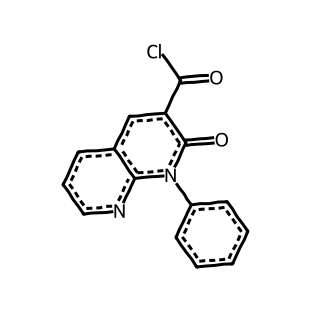 O=C(Cl)c1cc2cccnc2n(-c2ccccc2)c1=O